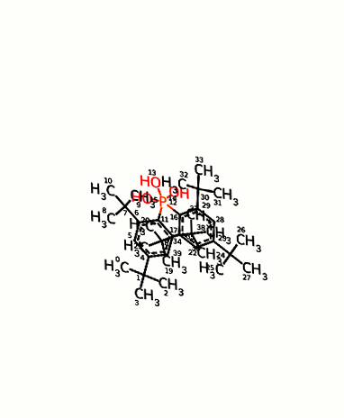 CC(C)(C)c1cc(C(C)(C)C)c(P(O)(O)(O)c2c(C(C)(C)C)cc(C(C)(C)C)cc2C(C)(C)C)c(C(C)(C)C)c1